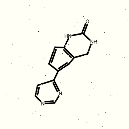 O=C1NCc2cc(-c3ccncn3)ccc2N1